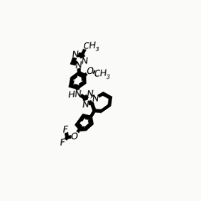 COc1cc(Nc2nc3n(n2)CCCCC3c2ccc(OC(F)F)cc2)ccc1-n1cnc(C)n1